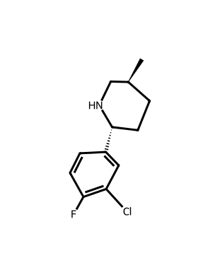 C[C@H]1CC[C@H](c2ccc(F)c(Cl)c2)NC1